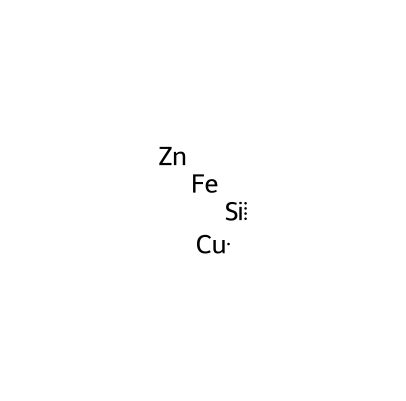 [Cu].[Fe].[Si].[Zn]